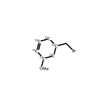 CO[13CH]1[13CH]=[13CH][13CH2][13CH](CBr)[13CH2]1